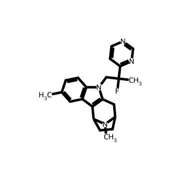 Cc1ccc2c(c1)c1c(n2CC(C)(F)c2ccncn2)CC2CCC1N2C